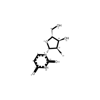 O=c1ccn([C@@H]2O[C@H](CO)[C@@H](O)[C@H]2I)c(=O)[nH]1